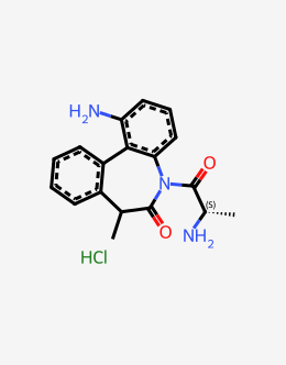 CC1C(=O)N(C(=O)[C@H](C)N)c2cccc(N)c2-c2ccccc21.Cl